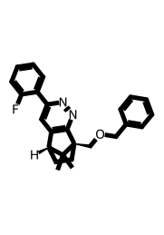 CC1(C)[C@@H]2CC[C@@]1(COCc1ccccc1)c1nnc(-c3ccccc3F)cc12